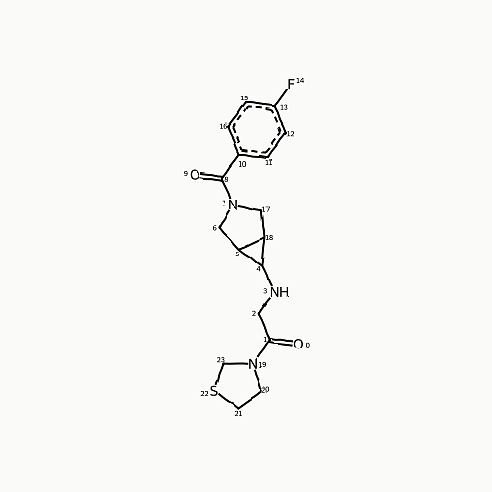 O=C(CNC1C2CN(C(=O)c3ccc(F)cc3)CC21)N1CCSC1